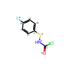 O=C(Cl)NSc1ccc(F)cc1